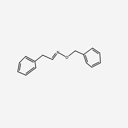 C(Cc1ccccc1)=NOCc1ccccc1